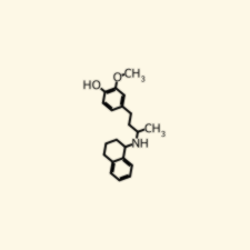 COc1cc(CCC(C)NC2CCCc3ccccc32)ccc1O